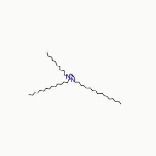 CCCCCCCCCCCCCCCCCn1cc[n+](CCCCCCCCCC)c1CCCCCCCCCCCCCC